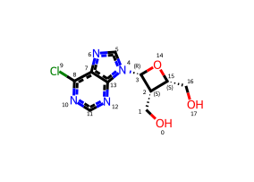 OC[C@@H]1[C@H](n2cnc3c(Cl)ncnc32)O[C@@H]1CO